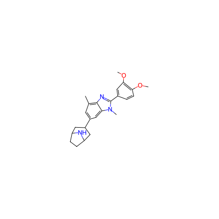 COc1ccc(-c2nc3c(C)cc(C4CC5CCC(C4)N5)cc3n2C)cc1OC